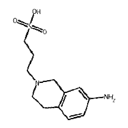 Nc1ccc2c(c1)CN(CCCS(=O)(=O)O)CC2